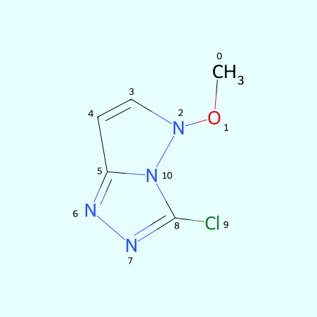 COn1ccc2nnc(Cl)n21